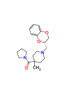 CC1(C(=O)N2CCCC2)CCN(C[C@H]2COc3ccccc3O2)CC1